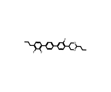 CCCc1ccc(-c2ccc(-c3ccc(C4COC(CCC)OC4)c(F)c3)cc2)c(F)c1F